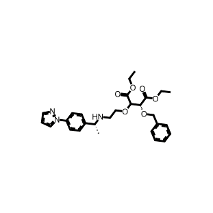 CCOC(=O)C(OCCN[C@H](C)c1ccc(-n2cccn2)cc1)[C@@H](OCc1ccccc1)C(=O)OCC